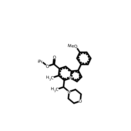 COc1cccc(-c2ccn3c(C(C)N4CCOCC4)c(C)c(C(=O)OC(C)C)cc23)c1